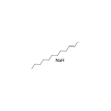 [CH2]C=CCCCCCCCCC.[NaH]